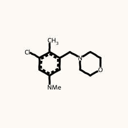 CNc1cc(Cl)c(C)c(CN2CCOCC2)c1